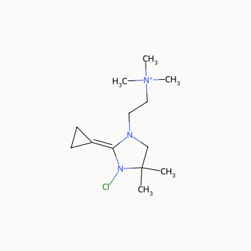 CC1(C)CN(CC[N+](C)(C)C)C(=C2CC2)N1Cl